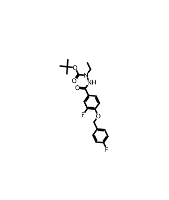 CCN(NC(=O)c1ccc(OCc2ccc(F)cc2)c(F)c1)C(=O)OC(C)(C)C